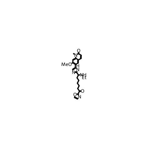 CCNC(CCCCCC(=O)c1ncco1)c1ncc(-c2cc3ccc(=O)n(C)c3cc2OC)[nH]1